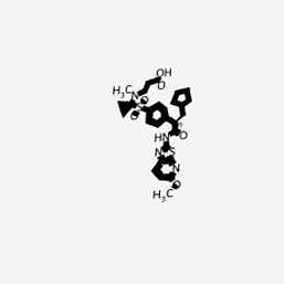 COc1ccc2nc(NC(=O)[C@H](CC3CCCC3)c3ccc(S(=O)(=O)C4(N(C)CCC(=O)O)CC4)cc3)sc2n1